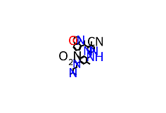 Cc1cc(N(C)CCN(C)C)c([N+](=O)[O-])cc1Nc1ncc(C#N)c(-c2cn3c4c(cccc24)OCC3)n1